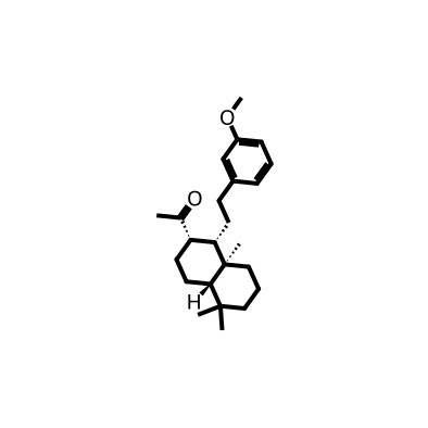 COc1cccc(CC[C@H]2[C@@H](C(C)=O)CC[C@H]3C(C)(C)CCC[C@]23C)c1